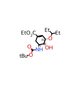 CCOC(=O)C1=C[C@H](OC(CC)CC)[C@H](O)[C@H](NC(=O)OC(C)(C)C)C1